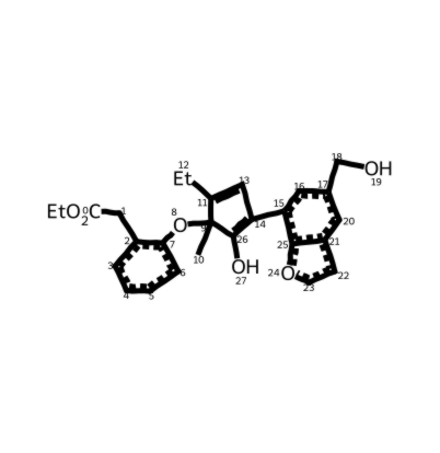 CCOC(=O)Cc1ccccc1OC1(C)C(CC)=CC(c2cc(CO)cc3ccoc23)=C1O